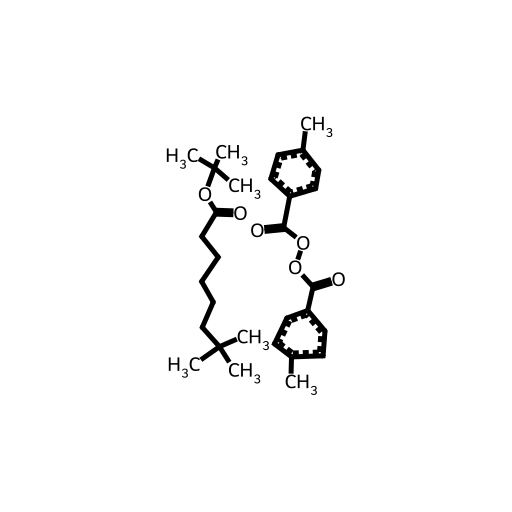 CC(C)(C)CCCCCC(=O)OC(C)(C)C.Cc1ccc(C(=O)OOC(=O)c2ccc(C)cc2)cc1